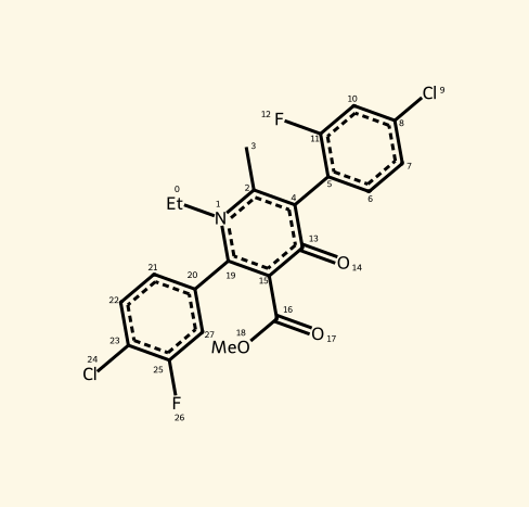 CCn1c(C)c(-c2ccc(Cl)cc2F)c(=O)c(C(=O)OC)c1-c1ccc(Cl)c(F)c1